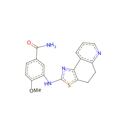 COc1ccc(C(N)=O)cc1Nc1nc2c(s1)CCc1ncccc1-2